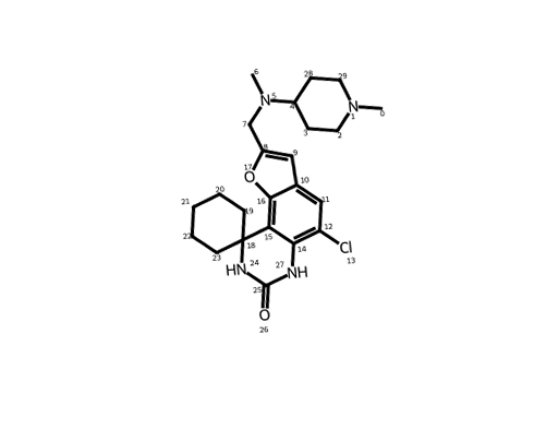 CN1CCC(N(C)Cc2cc3cc(Cl)c4c(c3o2)C2(CCCCC2)NC(=O)N4)CC1